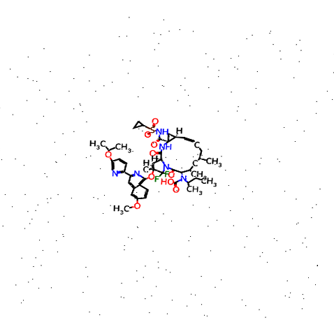 CCC(C)N(C(=O)O)[C@@H]1C(=O)N2[C@@H](C[C@@](C)(Oc3nc(-c4ccc(OC(C)C)cn4)cc4cc(OC)ccc34)C2(F)F)C(=O)N[C@]2(C(=O)NS(=O)(=O)C3CC3)C[C@H]2/C=C\CC[C@@H](C)C[C@H]1C